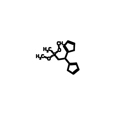 CO[Si](C)(CC(C1=CC=CC1)C1=CC=CC1)OC